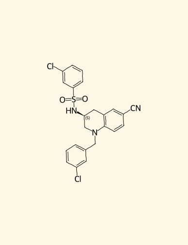 N#Cc1ccc2c(c1)C[C@H](NS(=O)(=O)c1cccc(Cl)c1)CN2Cc1cccc(Cl)c1